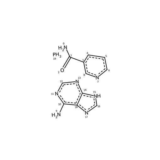 NC(=O)c1cccnc1.Nc1ncnc2[nH]cnc12.P